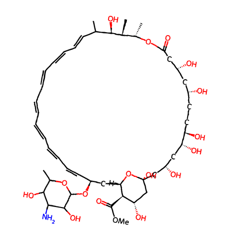 COC(=O)[C@H]1[C@@H]2C[C@@H](OC3OC(C)C(O)C(N)C3O)/C=C/C=C/C=C/C=C/C=C/C=C/C=C/C(C)[C@@H](O)[C@@H](C)[C@H](C)OC(=O)C[C@H](O)C[C@H](O)CC[C@@H](O)[C@H](O)C[C@H](O)C[C@](O)(C[C@@H]1O)O2